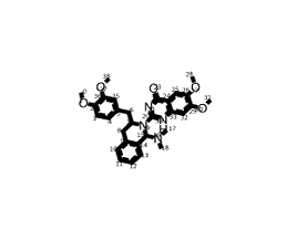 COc1ccc(CC2Cc3ccccc3C(N(C)C)N2c2nc(=O)c3cc(OC)c(OC)cc3[nH]2)cc1OC